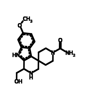 COc1ccc2c3c([nH]c2c1)C(CO)NCC31CCN(C(N)=O)CC1